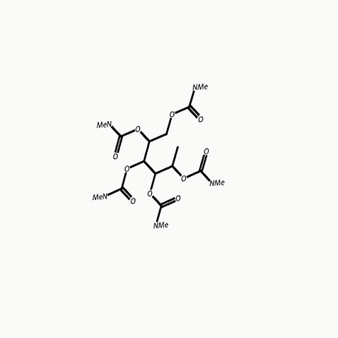 CNC(=O)OCC(OC(=O)NC)C(OC(=O)NC)C(OC(=O)NC)C(C)OC(=O)NC